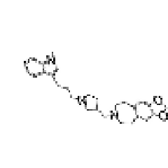 Cn1cc(CCCN2CCC(CN3CCc4cc5c(cc4CC3)OCO5)C2)c2ccccc21